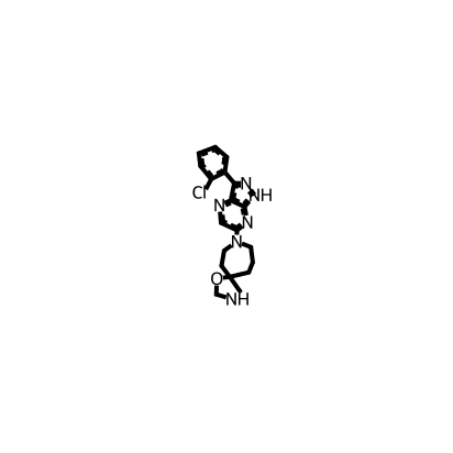 Clc1ccccc1-c1n[nH]c2nc(N3CCCC4(CC3)CNCO4)cnc12